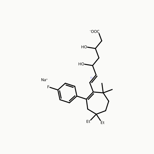 CCC1(CC)CCC(C)(C)C(/C=C/C(O)CC(O)CC(=O)[O-])=C(c2ccc(F)cc2)C1.[Na+]